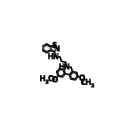 COc1cccc(-c2ccc(OC)cc2CNCCCNc2nsc3ccccc23)c1